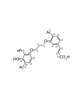 CCCc1c(OCCCOc2cc(C=CC(=O)O)ccc2C(C)=O)ccc(C(C)=O)c1O